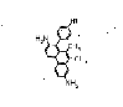 Cc1c(C)c2c(-c3ccc(C(C)(C)C)cc3)c(N)ccc2c2ccc(N)cc12